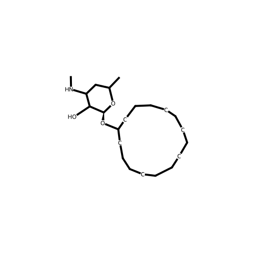 CNC1CC(C)O[C@@H](OC2CCCCCCCCCCCCCC2)C1O